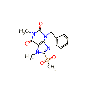 Cn1c(=O)c2c(nc(S(C)(=O)=O)n2C)n(Cc2ccccc2)c1=O